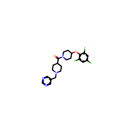 O=C(C1CCN(Cc2cncnc2)CC1)N1CCC(Oc2c(F)cc(F)cc2F)CC1